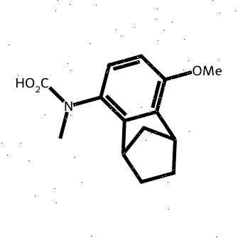 COc1ccc(N(C)C(=O)O)c2c1C1CCC2C1